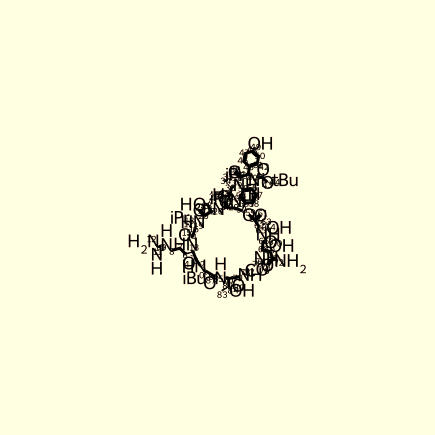 CC[C@H](C)C1NC(=O)[C@@H](CCCNC(=N)N)NC(=O)[C@H](CC(C)C)NC(=O)[C@H]([C@H](O)C(C)C)NC(=O)[C@@H](NC(=O)[C@H](CC(C)C)NC(=O)[C@H](NC(=O)OC(C)(C)C)c2ccc(O)cc2)[C@@H](c2ccccc2)OC(=O)[C@H](CO)NC(=O)[C@H]([C@H](O)C(N)=O)NC(=O)CNC(=O)C([C@H](C)O)NC1=O